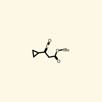 CC(C)(C)OC(=O)CC(=C=O)C1CC1